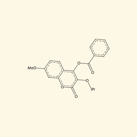 COc1ccc2c(OC(=O)c3ccccc3)c(OC(C)C)c(=O)oc2c1